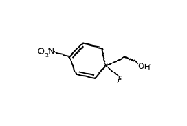 O=[N+]([O-])C1=CCC(F)(CO)C=C1